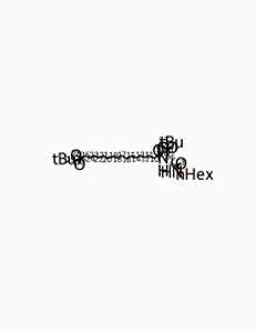 CCCCCCNC(=O)CC[C@H](NC(=O)CCCCCCCCCCCCCCCCC(=O)OC(C)(C)C)C(=O)OC(C)(C)C